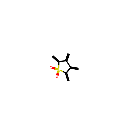 C=C1C(=C)C(=C)S(=O)(=O)C1=C